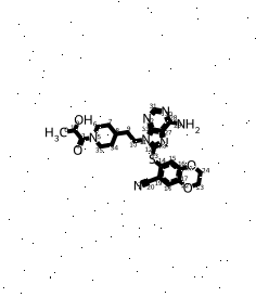 CC(O)C(=O)N1CCC(CCn2c(Sc3cc4c(cc3C#N)OCCO4)nc3c(N)ncnc32)CC1